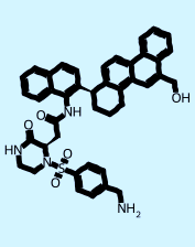 NCc1ccc(S(=O)(=O)N2CCNC(=O)[C@H]2CC(=O)Nc2c([C@@H]3CCCc4c3ccc3c4cc(CO)c4ccccc43)ccc3ccccc23)cc1